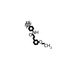 C=CCOc1cccc(C=CC(=O)Nc2ccc(S(F)(F)(F)(F)F)cc2)c1